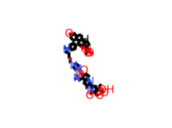 CC[C@@]1(O)C(=O)OCc2c1cc1n(c2=O)Cc2cc3c(CN(C)C)c(OC(=O)N4CCN(CCCCCN(C)c5ccc([C@H]6C[C@@]7(C)[C@@H](CC[C@@]7(CC(C)=O)OC(C)=O)C7CCC8=CC(=O)CCC8=C76)cc5)CC4)ccc3nc2-1